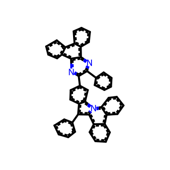 c1ccc(-c2nc3c4ccccc4c4ccccc4c3nc2-c2ccc3c(-c4ccccc4)c4c5ccccc5c5ccccc5n4c3c2)cc1